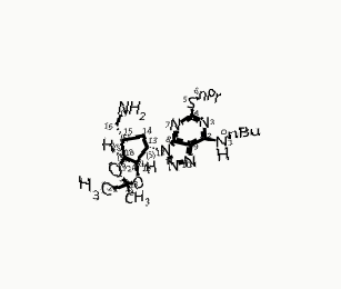 CCCCNc1nc(SCCC)nc2c1nnn2[C@H]1C[C@@H](CN)[C@@H]2OC(C)(C)O[C@@H]21